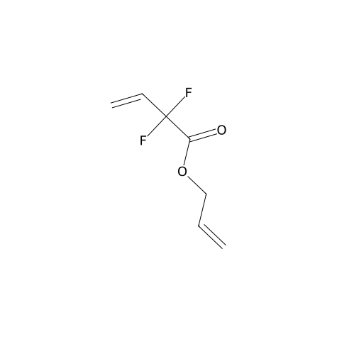 C=CCOC(=O)C(F)(F)C=C